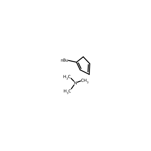 CCCCC1=CC=CC1.CN(C)C